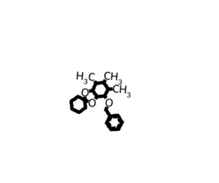 CC1C(C)C(OCc2ccccc2)C2OC3(CCCCC3)OC2C1C